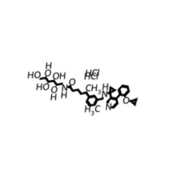 Cc1ccc(C(C)CCCC(=O)NC[C@H](O)[C@@H](O)[C@H](O)[C@H](O)CO)cc1CNC1(c2cnccc2-c2ccccc2OC2CC2)CC1.Cl.Cl